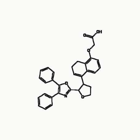 O=C(O)COc1cccc2c1CCC=C2C1CCOC1c1nc(-c2ccccc2)c(-c2ccccc2)o1